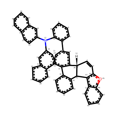 C1=C[C@H]2c3cc(-c4ccccc4N(c4ccc5ccccc5c4)c4ccc5ccccc5c4)ccc3-c3ccccc3C2c2c1oc1ccccc21